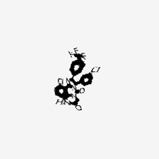 O=C1CN(C(=O)N2C(c3ccccc3Cl)=N[C@@H](c3ccc(C(F)(F)F)cc3)C2c2cccc(Cl)c2)CCN1